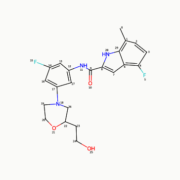 Cc1ccc(F)c2cc(C(=O)Nc3cc(F)cc(N4CCOC(CCO)C4)c3)[nH]c12